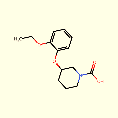 CCOc1ccccc1O[C@@H]1CCCN(C(=O)O)C1